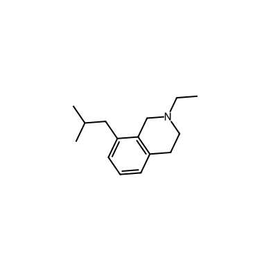 CCN1CCc2cccc(CC(C)C)c2C1